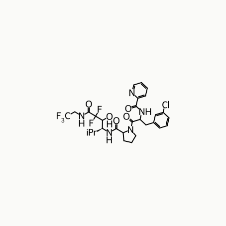 CC(C)[C@H](NC(=O)C1CCCN1C(=O)C(Cc1cccc(Cl)c1)NC(=O)c1ccccn1)C(O)C(F)(F)C(=O)NCC(F)(F)F